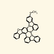 CSc1ccc2c(c1)c1cccc3c1n2-c1cc2oc4ccccc4c2c2c1B3n1c3ccccc3c3cccc-2c31